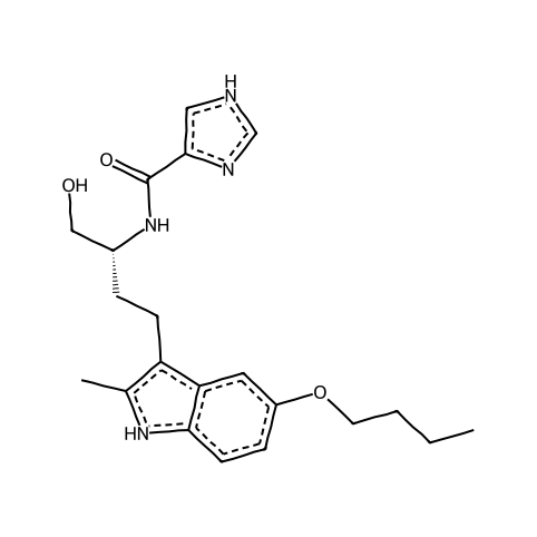 CCCCOc1ccc2[nH]c(C)c(CC[C@H](CO)NC(=O)c3c[nH]cn3)c2c1